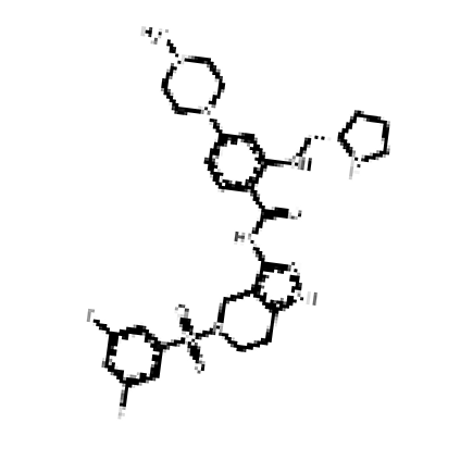 CN1CCN(c2ccc(C(=O)Nc3n[nH]c4c3CN(S(=O)(=O)c3cc(F)cc(F)c3)CC4)c(NC[C@@H]3CCCN3)c2)CC1